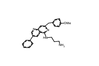 COc1ccc(Cc2cc3ncc(-c4ccccc4)cc3c(NCCCN)n2)cc1